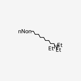 CCCCCCCCCCCCCCCCCC[N+](CC)(CC)CC